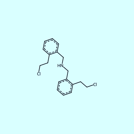 ClCCc1ccccc1CNCc1ccccc1CCCl